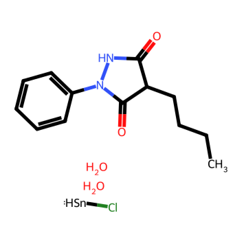 CCCCC1C(=O)NN(c2ccccc2)C1=O.O.O.[Cl][SnH]